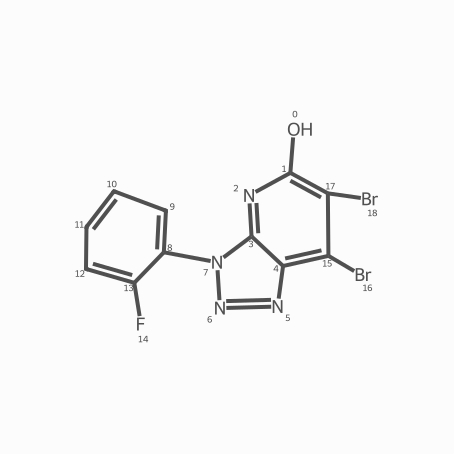 Oc1nc2c(nnn2-c2ccccc2F)c(Br)c1Br